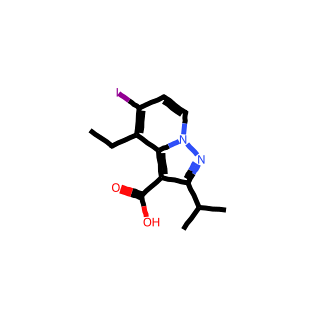 CCc1c(I)ccn2nc(C(C)C)c(C(=O)O)c12